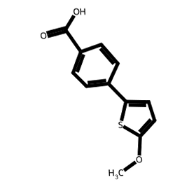 COc1ccc(-c2ccc(C(=O)O)cc2)s1